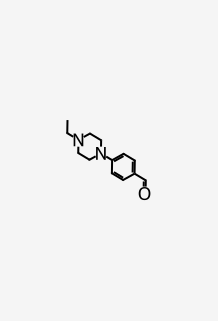 CCN1CCN(c2ccc(C=O)cc2)CC1